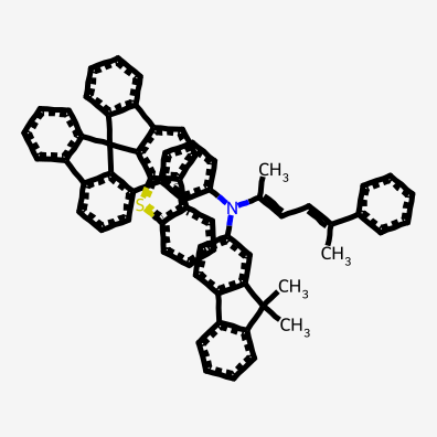 C/C(=C\C=C(/C)N(c1cccc(-c2cccc3c2C2(c4ccccc4-3)c3ccccc3-c3ccc4c(sc5ccccc54)c32)c1)c1ccc2c(c1)C(C)(C)c1ccccc1-2)c1ccccc1